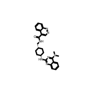 CN(C)c1nc(N[C@H]2CC[C@@H](CNC(=O)c3cnnc4ccccc34)CC2)nc2ccccc12